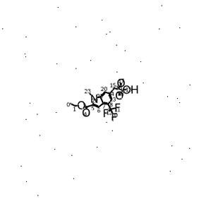 CCOC(=O)c1cc2c(C(F)(F)F)cc(CS(=O)(=O)O)cc2n1C